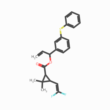 C=CC(OC(=O)C1C(C=C(F)F)C1(C)C)c1cccc(Sc2ccccc2)c1